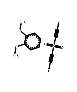 COc1ccccc1OC.O=S(=O)(C#CI)C#CI